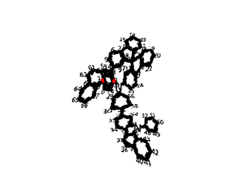 c1ccc(-c2ccc3c(c2)C2(c4ccccc4-3)c3ccccc3-c3ccc(N(c4ccc(-c5ccc6c7ccc8ccccc8c7n(-c7ccccc7)c6c5)cc4)c4ccc5ccc6ccccc6c5c4)cc32)cc1